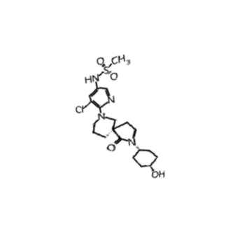 CS(=O)(=O)Nc1cnc(N2CCC[C@@]3(CCN([C@H]4CC[C@H](O)CC4)C3=O)C2)c(Cl)c1